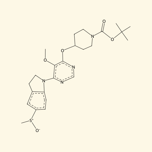 COc1c(OC2CCN(C(=O)OC(C)(C)C)CC2)ncnc1N1CCc2cc([S+](C)[O-])ccc21